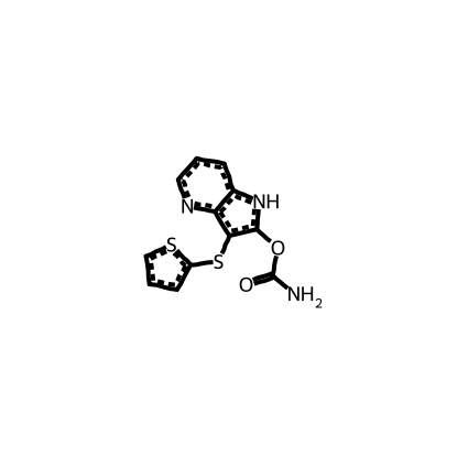 NC(=O)Oc1[nH]c2cccnc2c1Sc1cccs1